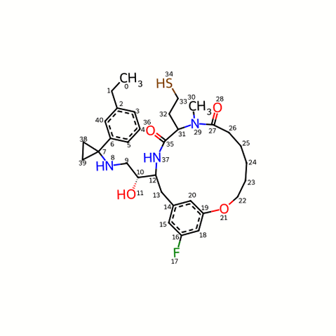 CCc1cccc(C2(NC[C@@H](O)C3Cc4cc(F)cc(c4)OCCCCCC(=O)N(C)C(CCS)C(=O)N3)CC2)c1